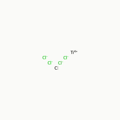 [C].[Cl-].[Cl-].[Cl-].[Cl-].[Ti+4]